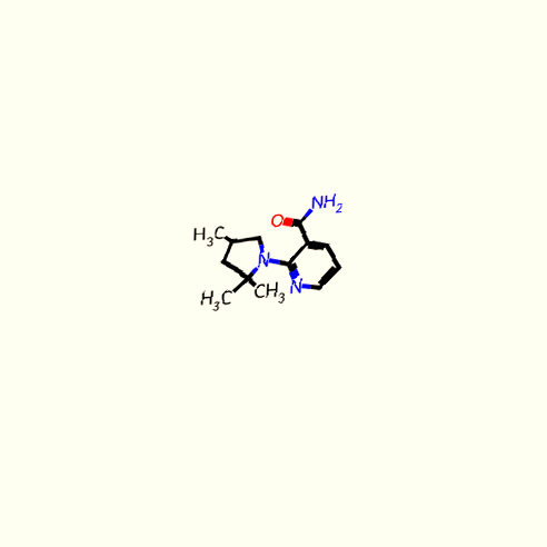 CC1CN(c2ncccc2C(N)=O)C(C)(C)C1